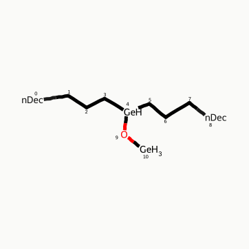 CCCCCCCCCCCC[CH2][GeH]([CH2]CCCCCCCCCCCC)[O][GeH3]